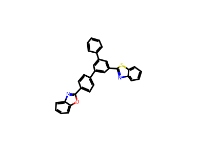 c1ccc(-c2cc(-c3ccc(-c4nc5ccccc5o4)cc3)cc(-c3nc4ccccc4s3)c2)cc1